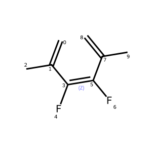 C=C(C)/C(F)=C(/F)C(=C)C